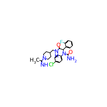 CC(=N)N1CCC(CNC(=O)C(c2ccccc2F)N(C(N)=O)c2ccc(Cl)cc2)CC1